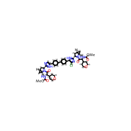 COC(=O)N[C@H](C(=O)N1[C@@H]2C[C@@H]2C[C@H]1c1ncc(-c2ccc(-c3ccc(-c4[nH]c([C@@H]5C[C@H]6C[C@H]6N5C(=O)[C@@H](NC(=O)OC)C5CCOCC5)nc4Cl)cc3)cc2)[nH]1)C1CCOCC1